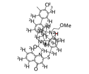 [2H]c1c([2H])c(F)c(F)c(C([2H])([2H])Sc2c([2H])c(=O)c3c([2H])c([2H])c([2H])c([2H])c3n2CC(=O)N(Cc2c([2H])c([2H])c(-c3c([2H])c([2H])c(C(F)(F)F)c(C)c3[2H])c([2H])c2[2H])C2([2H])C([2H])([2H])C([2H])([2H])N(CCOC)C([2H])([2H])C2([2H])[2H])c1[2H]